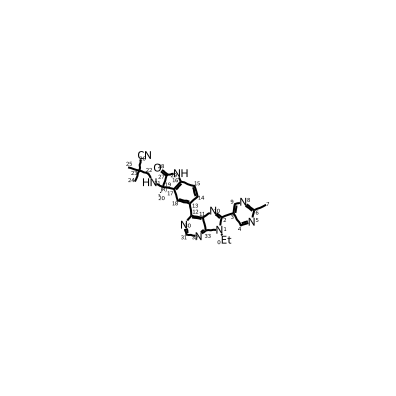 CCn1c(-c2cnc(C)nc2)nc2c(-c3ccc4c(c3)[C@@](C)(NCC(C)(C)C#N)C(=O)N4)ncnc21